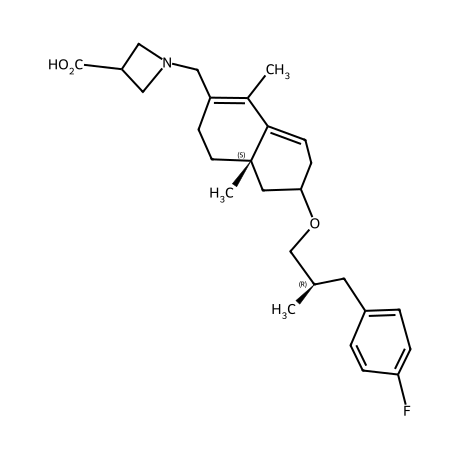 CC1=C(CN2CC(C(=O)O)C2)CC[C@@]2(C)CC(OC[C@H](C)Cc3ccc(F)cc3)CC=C12